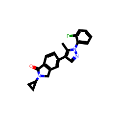 Cc1c(-c2ccc3c(c2)CN(C2CC2)C3=O)cnn1-c1ccccc1F